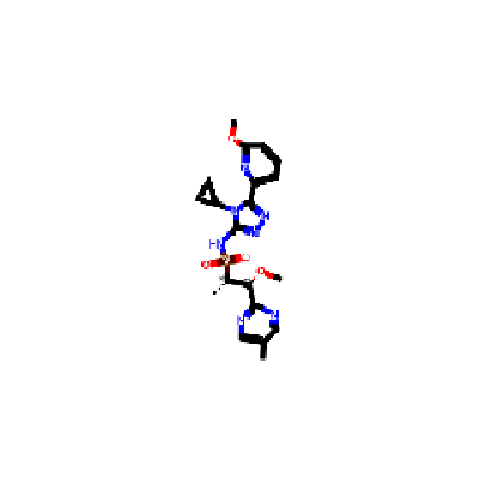 COc1cccc(-c2nnc(NS(=O)(=O)[C@@H](C)[C@H](OC)c3ncc(C)cn3)n2C2CC2)n1